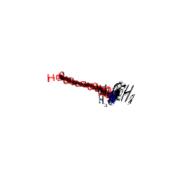 CC(C)CN(C)CCOCCOCCOCCOCCOCCOCCOCCOCCC(=O)O